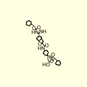 N=C(NC(=O)OCc1ccccc1)c1ccc2oc(C(=O)Nc3ccc(N(CC(=O)O)C(=O)OCc4ccccc4)cc3)cc2c1